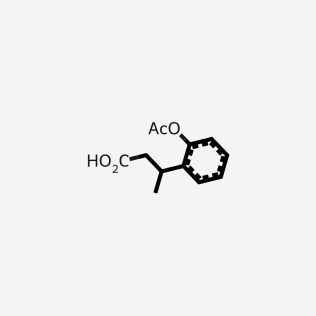 CC(=O)Oc1ccccc1C(C)CC(=O)O